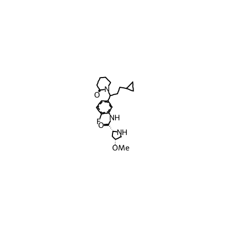 CO[C@H]1CN[C@@H](C(=O)Nc2cc(C(CCC3CC3)N3CCCCC3=O)ccc2F)C1